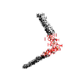 O=S(=O)(O)O.O=S(=O)(O)O.O=S(=O)(O)O.O=S(=O)(O)O.O=S(=O)(O)O.[Ba+2].[Ba+2].[Ba+2].[Ba+2].[Ba+2].[Ba+2].[Ba+2].[Ba+2].[Ba+2].[Ba+2].[Ba+2].[Ba+2].[Ba+2].[Ba+2].[Ba+2].[Ba+2].[Ba+2].[Ba+2].[Ba+2].[Ba+2].[Ba+2].[Ba+2].[Ba+2].[Ba+2].[Ba+2].[Ba+2].[Ba+2].[Ba+2]